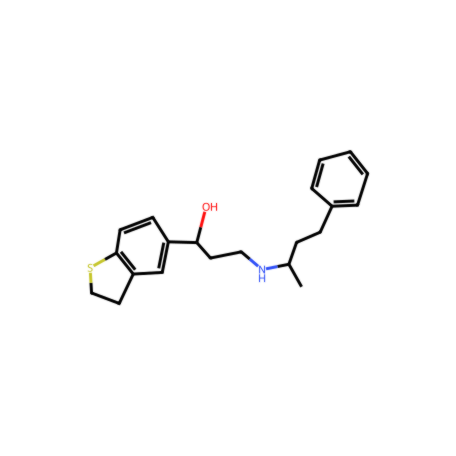 CC(CCc1ccccc1)NCCC(O)c1ccc2c(c1)CCS2